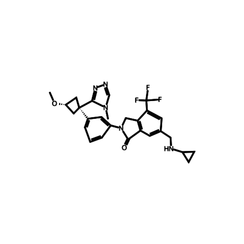 CO[C@H]1C[C@](c2cccc(N3Cc4c(cc(CNC5CC5)cc4C(F)(F)F)C3=O)c2)(c2nncn2C)C1